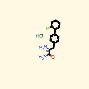 Cl.NC(=O)[C@@H](N)Cc1ccc(-c2ccccc2F)cc1